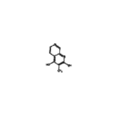 Cc1c(O)nc2cnccc2c1O